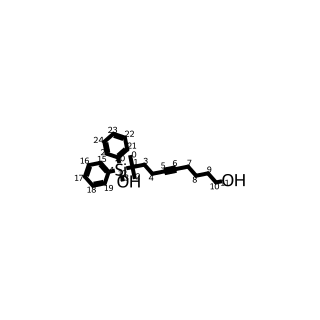 CC(C)(CCC#CCCCCO)[Si](O)(c1ccccc1)c1ccccc1